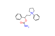 NC(=O)OC(CC[N+]1(c2ccccc2)CCCC1)c1ccccc1